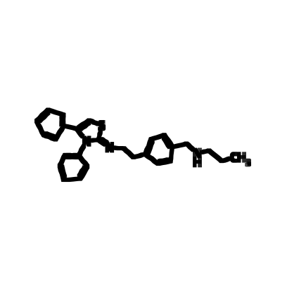 CCCNCc1ccc(CC/N=c2\scc(-c3ccccc3)n2-c2ccccc2)cc1